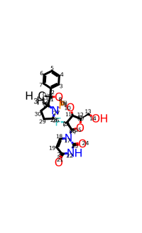 C[C@@]1(c2ccccc2)O[P@@](OC2[C@@H](CO)O[C@@H](n3ccc(=O)[nH]c3=O)[C@H]2F)N2CCC[C@@H]21